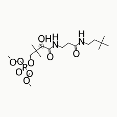 COOP(=O)(OCC(C)(C)[C@H](O)C(=O)NCCC(=O)NCCC(C)(C)C)OOC